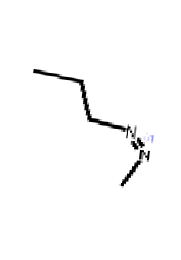 CCC/N=N\C